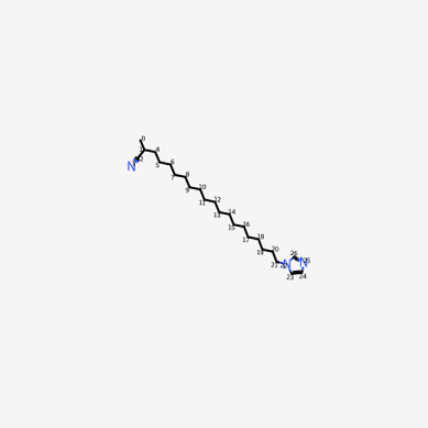 CC(C#N)CCCCCCCCCCCCCCCCCCn1ccnc1